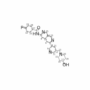 O=C(Nc1cc2cc(-c3cncc(CN4CCC(O)CC4)c3)ncc2cn1)c1ccc(F)cc1